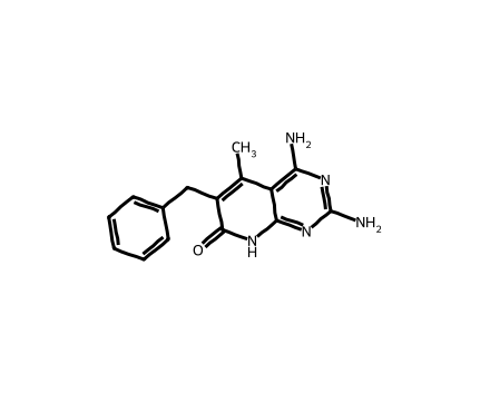 Cc1c(Cc2ccccc2)c(=O)[nH]c2nc(N)nc(N)c12